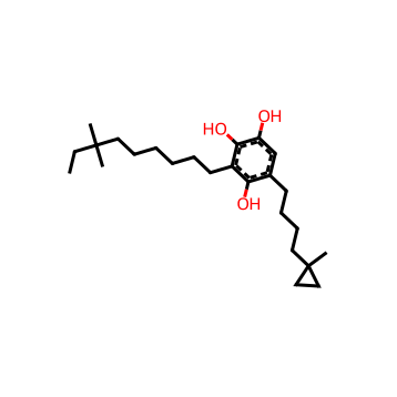 CCC(C)(C)CCCCCCc1c(O)c(O)cc(CCCCC2(C)CC2)c1O